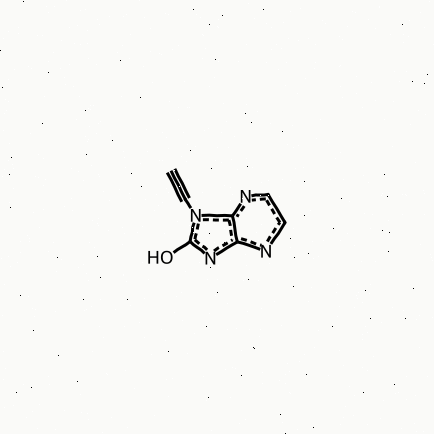 C#Cn1c(O)nc2nccnc21